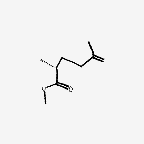 C=C(C)CC[C@@H](C)C(=O)OC